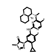 CN(c1nc(Nc2cc(-n3nnn(C)c3=O)c(C3CC3)cc2F)ncc1F)[C@H]1CCCN2CCCC[C@H]12